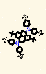 CC(C)(C)c1cc2cc(N(c3ccc([Si](C)(C)C)cc3)c3ccc([Si](C)(C)C)cc3)c3cc(C(C)(C)C)cc4cc(N(c5ccc([Si](C)(C)C)cc5)c5ccc([Si](C)(C)C)cc5)c(c1)c2c43